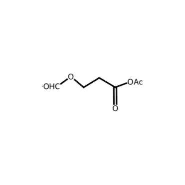 CC(=O)OC(=O)CCO[C]=O